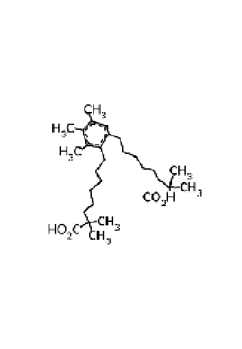 Cc1cc(CCCCCCC(C)(C)C(=O)O)c(CCCCCCC(C)(C)C(=O)O)c(C)c1C